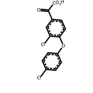 O=C(O)C(=O)c1ccc(Oc2ccc(Cl)cc2)c(Cl)c1